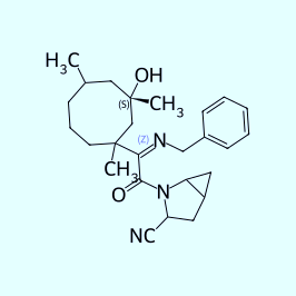 CC1CCCC(C)(/C(=N/Cc2ccccc2)C(=O)N2C(C#N)CC3CC32)C[C@@](C)(O)C1